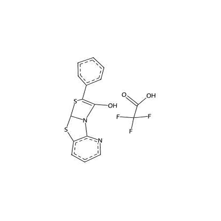 O=C(O)C(F)(F)F.OC1=C(c2ccccc2)SC2Sc3cccnc3N12